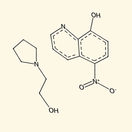 O=[N+]([O-])c1ccc(O)c2ncccc12.OCCN1CCCC1